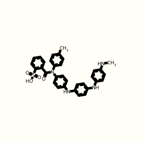 CNc1ccc(Nc2ccc(Nc3ccc(N(C(=O)c4ccccc4S(=O)(=O)O)c4ccc(C)cc4)cc3)cc2)cc1